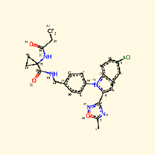 Cc1nc(-c2cc3cc(Cl)ccc3n2-c2ccc(CNC(=O)C3(NC(=O)CC(F)(F)F)CC3)cc2)no1